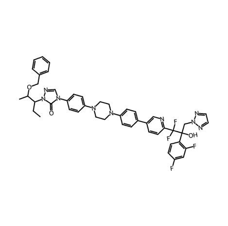 CCC(C(C)OCc1ccccc1)n1ncn(-c2ccc(N3CCN(c4ccc(-c5ccc(C(F)(F)C(O)(Cn6nccn6)c6ccc(F)cc6F)nc5)cc4)CC3)cc2)c1=O